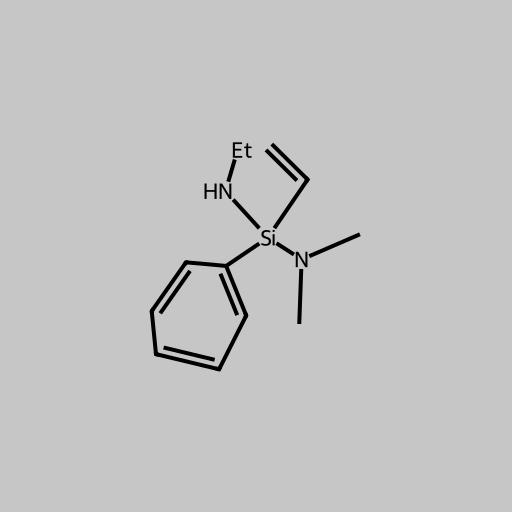 C=C[Si](NCC)(c1ccccc1)N(C)C